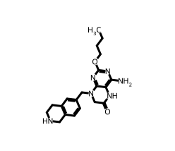 CCCCOc1nc(N)c2c(n1)N(Cc1ccc3c(c1)CCNC3)CC(=O)N2